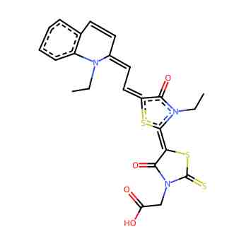 CCN1/C(=C\C=c2\s/c(=C3/SC(=S)N(CC(=O)O)C3=O)n(CC)c2=O)C=Cc2ccccc21